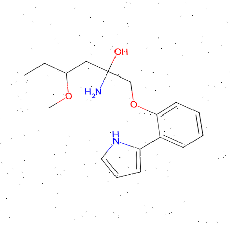 CCC(CC(N)(O)COc1ccccc1-c1ccc[nH]1)OC